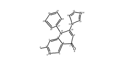 Cc1cc2c(cn1)c(=O)cc(-n1ccnc1)n2-c1ccccc1